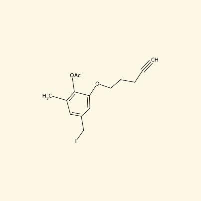 C#CCCCOc1cc(CI)cc(C)c1OC(C)=O